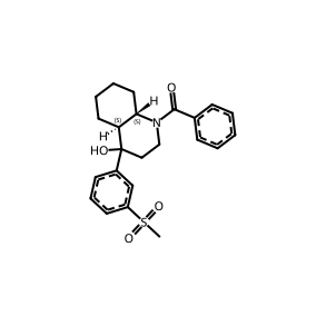 CS(=O)(=O)c1cccc(C2(O)CCN(C(=O)c3ccccc3)[C@H]3CCCC[C@@H]32)c1